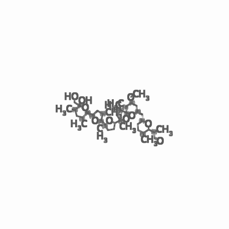 CO[C@@H]1C[C@@H](C[C@H]2CC[C@H](C)C([C@@H](C)C=O)O2)O[C@]2(O[C@@](C)(C3CC[C@@](C)([C@@H]4O[C@@H]([C@@H]5O[C@@](O)(CO)[C@H](C)C[C@@H]5C)C[C@@H]4C)O3)C[C@H]2C)[C@@H]1C